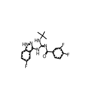 CC(C)(C)N/C(=N/C(=O)c1ccc(F)c(F)c1)Nc1n[nH]c2ccc(F)cc12